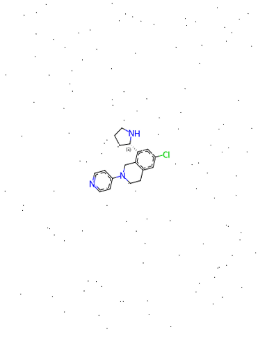 Clc1cc2c(c([C@@H]3CCCN3)c1)CN(c1ccncc1)CC2